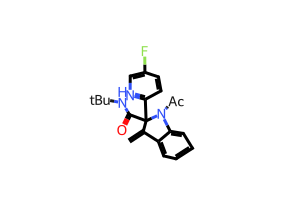 C=C1c2ccccc2N(C(C)=O)C1(C(=O)NC(C)(C)C)c1ccc(F)cn1